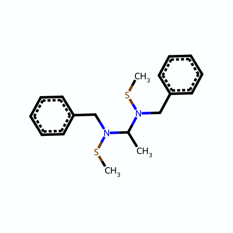 CSN(Cc1ccccc1)C(C)N(Cc1ccccc1)SC